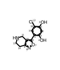 Oc1cc(O)c(-c2onc3c2CNCC3)cc1Cl